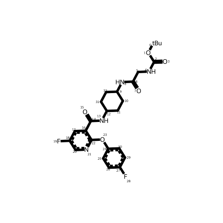 CC(C)(C)OC(=O)NCC(=O)NC1CCC(NC(=O)c2cc(F)cnc2Oc2ccc(F)cc2)CC1